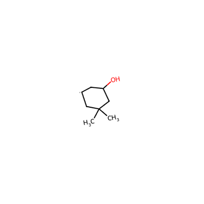 CC1(C)C[CH]CC(O)C1